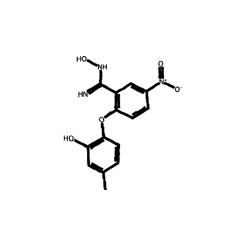 Cc1ccc(Oc2ccc([N+](=O)[O-])cc2C(=N)NO)c(O)c1